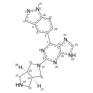 Cn1ncc2cc(-c3nc(N4C[C@H]5CNC[C@H]5C4)nc4[nH]cnc34)ccc21